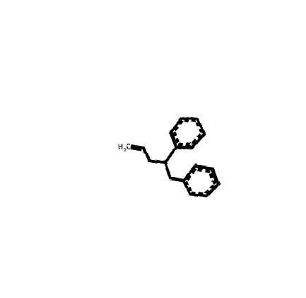 C=CC[C](Cc1ccccc1)c1ccccc1